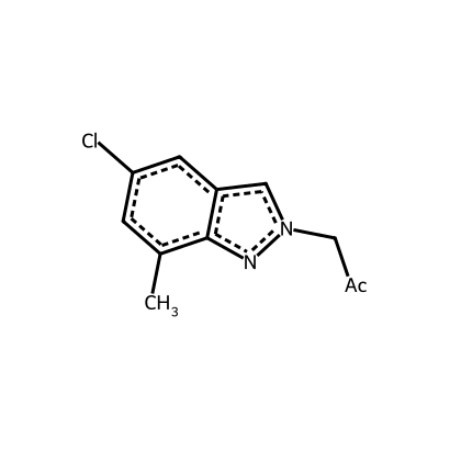 CC(=O)Cn1cc2cc(Cl)cc(C)c2n1